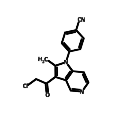 Cc1c(C(=O)CCl)c2cnccc2n1-c1ccc(C#N)cc1